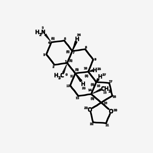 C[C@]12CC[C@H](N)C[C@@H]1CC[C@@H]1[C@@H]2CC[C@@]2(C)[C@H]1CCC21OCCO1